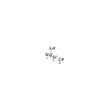 [Ce].[La].[Mg].[Sc]